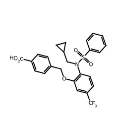 O=C(O)c1ccc(COc2cc(C(F)(F)F)ccc2N(CC2CC2)S(=O)(=O)c2ccccc2)cc1